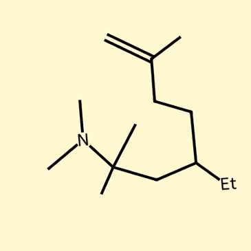 C=C(C)CCC(CC)CC(C)(C)N(C)C